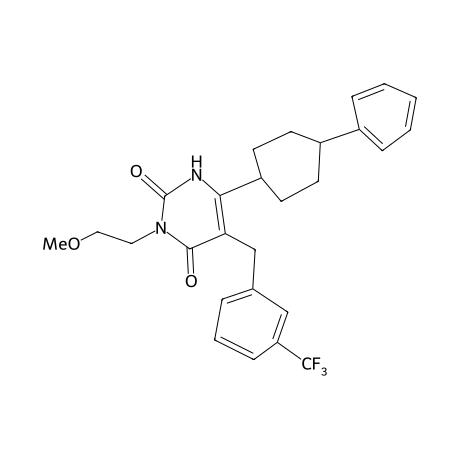 COCCn1c(=O)[nH]c(C2CCC(c3ccccc3)CC2)c(Cc2cccc(C(F)(F)F)c2)c1=O